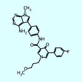 COCCCn1cc(C(=O)Nc2ccc(-c3cn(C)c4ncnc(N)c34)cc2)c(=O)c(-c2ccc(F)cc2)c1